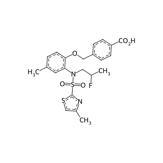 Cc1ccc(OCc2ccc(C(=O)O)cc2)c(N(CC(C)F)S(=O)(=O)c2nc(C)cs2)c1